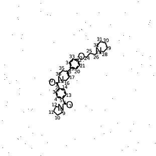 O=C(c1ccc(C(=O)N2CCCC2)cc1)N1CC=C(c2ccc(OCCCN3CCCCC3)cc2)CC1